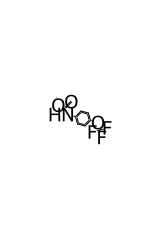 COC(=O)Nc1ccc(OC(F)(F)F)cc1